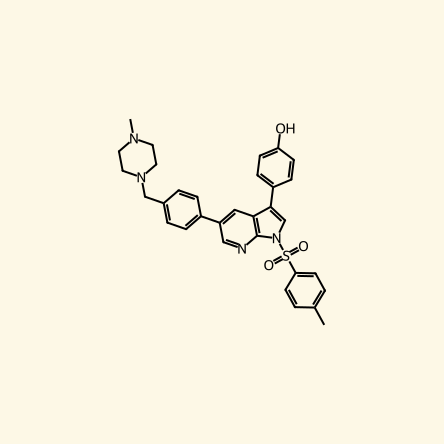 Cc1ccc(S(=O)(=O)n2cc(-c3ccc(O)cc3)c3cc(-c4ccc(CN5CCN(C)CC5)cc4)cnc32)cc1